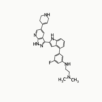 CN(C)CCNc1cc(F)cc(-c2cccc3[nH]c(-c4n[nH]c5ncc(C6=CCNCC6)cc45)cc23)c1